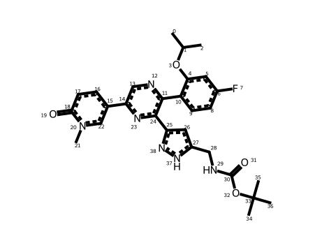 CC(C)Oc1cc(F)ccc1-c1ncc(-c2ccc(=O)n(C)c2)nc1-c1cc(CNC(=O)OC(C)(C)C)[nH]n1